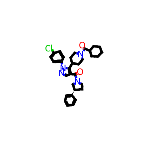 O=C(c1cnn(-c2ccc(Cl)cc2)c1C1CCN(C(=O)C2CCCCC2)CC1)N1CC[C@H](c2ccccc2)C1